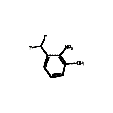 O=[N+]([O-])c1c(O)cccc1C(F)F